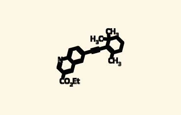 CCOC(=O)c1cnc2ccc(C#CC3=C(C)CCCC3(C)C)cc2c1